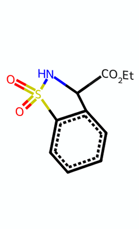 CCOC(=O)C1NS(=O)(=O)c2ccccc21